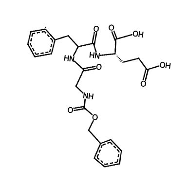 O=C(O)CC[C@H](NC(=O)C(Cc1[c]cccc1)NC(=O)CNC(=O)OCc1ccccc1)C(=O)O